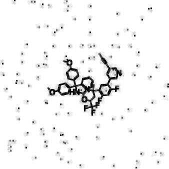 CC#Cc1cncc(-c2cc([C@]3(C)C[C@@H](C(F)(F)F)OC(NC(c4ccccc4)(c4ccc(OC)cc4)c4ccc(OC)cc4)=N3)c(F)cc2F)c1